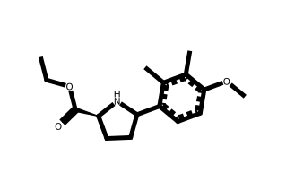 CCOC(=O)[C@@H]1CCC(c2ccc(OC)c(C)c2C)N1